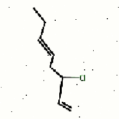 C=CC(Cl)CC=CCC